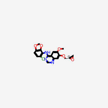 COc1cc2c(Nc3c(Cl)ccc4c3OCO4)ncnc2cc1OC[C@@H]1CO1